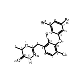 CC1OC(Cc2ccc(Cl)c(Oc3cc(Br)cc(Br)c3)c2F)=NNC1=O